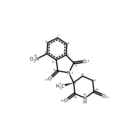 C[C@@]1(N2C(=O)c3cccc([N+](=O)[O-])c3C2=O)CCC(=O)NC1=O